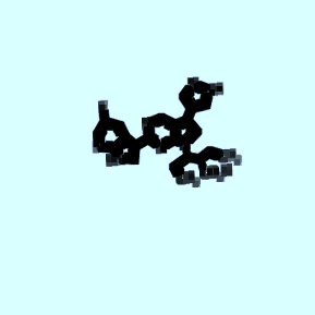 C=C[C@H]([C@@H](C=C)C(=O)O)n1cc(-c2cn[nH]c2)c2cnc(-c3c[nH]c4ncc(F)cc34)nc21